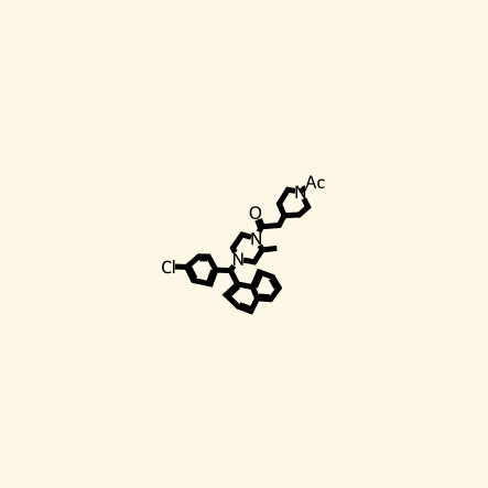 CC(=O)N1CCC(CC(=O)N2CCN(C(c3ccc(Cl)cc3)c3cccc4ccccc34)CC2C)CC1